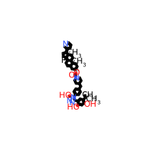 CC(C)c1cc(-c2nnc(O)n2-c2ccc(CC3CCN(C(=O)O[C@H]4CC[C@@]5(C)C(=CCC6C5CC[C@]5(C)C(c7cccnc7)=CC[C@@H]65)C4)CC3)cc2)c(O)cc1O